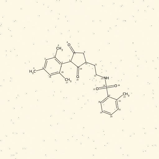 Cc1cc(C)c(C2C(=O)CC(CCNS(=O)(=O)c3ccccc3C)C2=O)c(C)c1